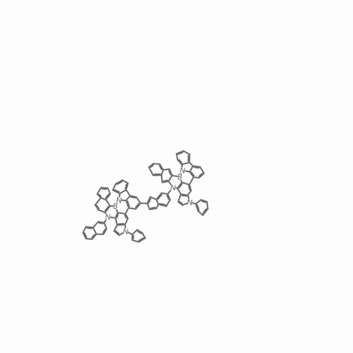 c1ccc(-n2ccc3c4c5c(cc32)-c2cccc3c6ccccc6n(c23)B5c2cc3ccccc3cc2N4c2ccc3ccc(-c4cc5c6c(c4)c4ccccc4n6B4c6c-5cc5c(ccn5-c5ccccc5)c6N(c5ccc6ccccc6c5)c5ccc6ccccc6c54)cc3c2)cc1